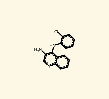 Nc1cnc2ccccc2c1Nc1ccccc1Cl